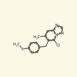 CSc1ccc(Cc2c(C)cc3ncnn3c2Cl)cc1